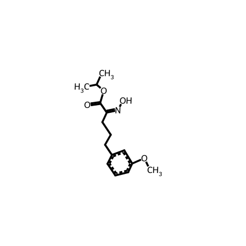 COc1cccc(CCCC(=NO)C(=O)OC(C)C)c1